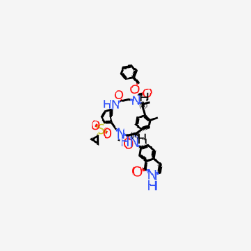 Cc1cc2ccc1[C@@H](C)N(C(=O)OCc1ccccc1)CC(=O)Nc1ccc(S(=O)(=O)C3CC3)c(c1)CN(C)C(=O)[C@@H]2Nc1ccc2cc[nH]c(=O)c2c1